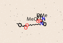 CC[C@H]1CN2CC[C@]3(C(=O)N(CCCCCCCCCOC(=O)C=Cc4ccc(C)cc4)c4ccccc43)C2C[C@@H]1/C(=C\OC)C(=O)OC